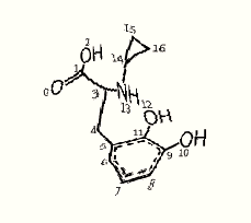 O=C(O)C(Cc1cccc(O)c1O)NC1CC1